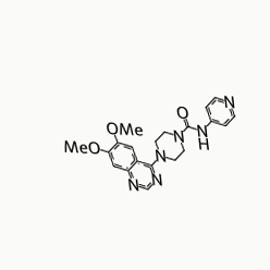 COc1cc2ncnc(N3CCN(C(=O)Nc4ccncc4)CC3)c2cc1OC